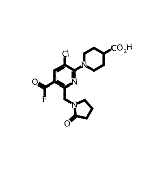 O=C(F)c1cc(Cl)c(N2CCC(C(=O)O)CC2)nc1CN1CCCC1=O